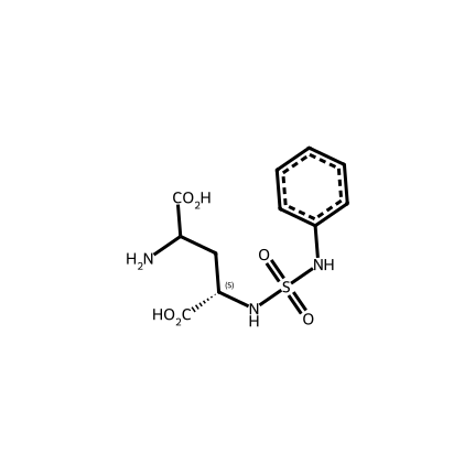 NC(C[C@H](NS(=O)(=O)Nc1ccccc1)C(=O)O)C(=O)O